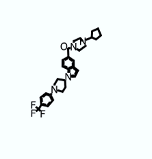 O=C(c1ccc2c(ccn2C2CCN(c3ccc(C(F)(F)F)cc3)CC2)c1)N1CCN(C2CCCC2)CC1